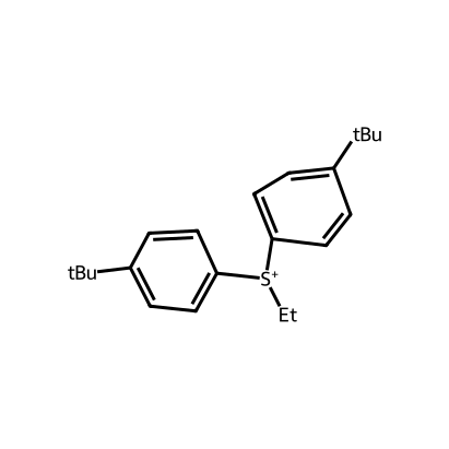 CC[S+](c1ccc(C(C)(C)C)cc1)c1ccc(C(C)(C)C)cc1